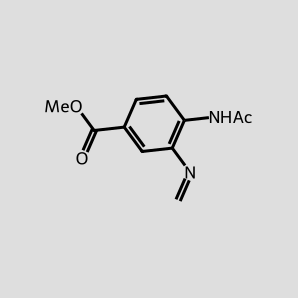 C=Nc1cc(C(=O)OC)ccc1NC(C)=O